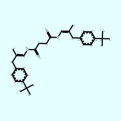 CC(=COC(=O)CCC(=O)OC=C(C)Cc1ccc(C(C)(C)C)cc1)Cc1ccc(C(C)(C)C)cc1